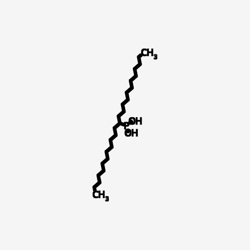 CCCCCCCCCCCCC(CCCCCCCCCCCC)P(O)O